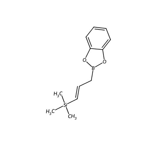 C[Si](C)(C)/C=C/CB1Oc2ccccc2O1